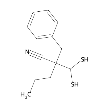 CCCC(C#N)(Cc1ccccc1)C(S)S